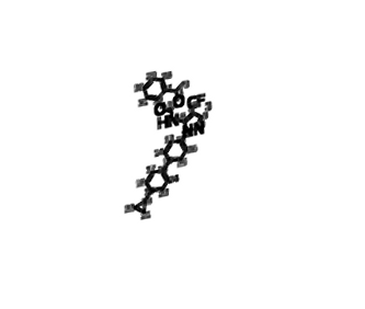 CC(OC(=O)Nc1c(C(F)(F)F)cnn1-c1ccc(-c2ccc(C3CC3)cc2)cc1)c1ccccc1